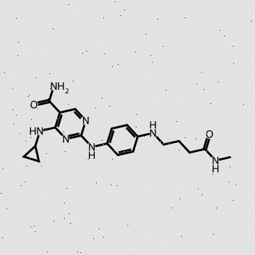 CNC(=O)CCCNc1ccc(Nc2ncc(C(N)=O)c(NC3CC3)n2)cc1